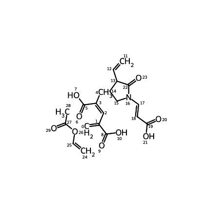 C=C(C=C(C)C(=O)O)C(=O)O.C=CC1CCN(C=CC(=O)O)C1=O.C=COC(C)=O